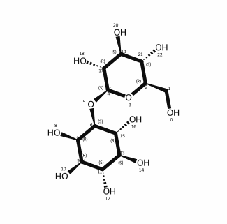 OC[C@H]1O[C@@H](O[C@@H]2[C@H](O)[C@H](O)[C@@H](O)[C@H](O)[C@H]2O)[C@H](O)[C@@H](O)[C@@H]1O